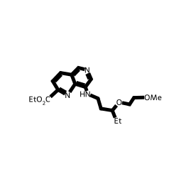 CCOC(=O)c1ccc2cncc(NCCC(CC)OCCOC)c2n1